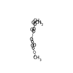 C=C(C)C(=O)OCCCOC(=O)OCCCCCCOc1ccc(C(=O)Oc2ccc(C3CCC(CCC)CC3)cc2)cc1